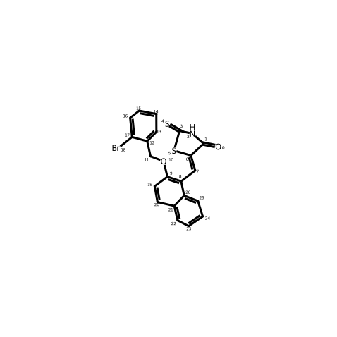 O=C1NC(=S)SC1=Cc1c(OCc2ccccc2Br)ccc2ccccc12